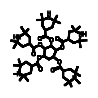 CN1C(C)(C)CC(C(=O)OC2CC(OC(=O)C3CC(C)(C)N(C)C(C)(C)C3)C(OC(=O)C3CC(C)(C)NC(C)(C)C3)C(OC(=O)C3CC(C)(C)NC(C)(C)C3)C2OC(=O)C2CC(C)(C)NC(C)(C)C2)CC1(C)C